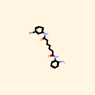 CC(C)c1cccc(NC(=O)CCCCCC(=O)Nc2ccccc2N)c1